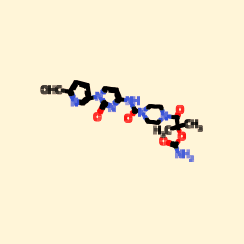 CC(C)(OC(N)=O)C(=O)N1CCN(C(=O)Nc2ccn(-c3ccc(C=O)nc3)c(=O)n2)CC1